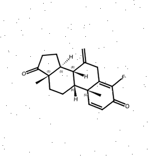 C=C1CC2=C(F)C(=O)C=C[C@]2(C)[C@@H]2CC[C@]3(C)C(=O)CC[C@H]3[C@H]12